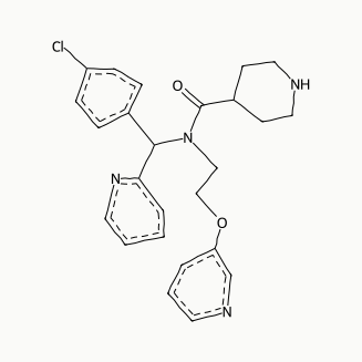 O=C(C1CCNCC1)N(CCOc1cccnc1)C(c1ccc(Cl)cc1)c1ccccn1